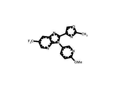 COc1ccc(-n2c(-c3coc(C)n3)nc3cc(C(F)(F)F)cnc32)cn1